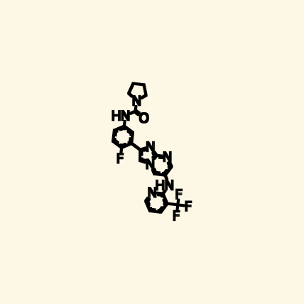 O=C(Nc1ccc(F)c(-c2cn3cc(Nc4ncccc4C(F)(F)F)cnc3n2)c1)N1CCCC1